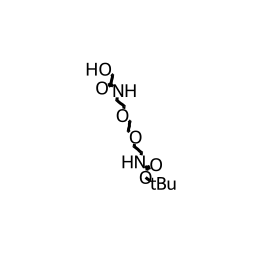 CC(C)(C)OC(=O)NCCOCCOCCNC(=O)CO